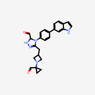 O=CC1NN=C(CC2CN(C3(C=O)CC3)C2)N1c1ccc(-c2ccc3cc[nH]c3c2)cc1